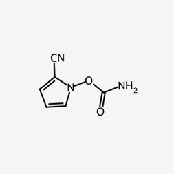 N#Cc1cccn1OC(N)=O